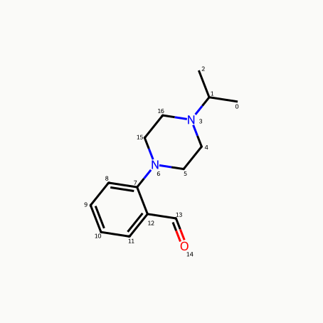 CC(C)N1CCN(c2ccccc2C=O)CC1